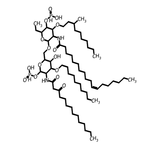 CCCCCC/C=C\CCCCCCCCCC(=O)NC1C(OCC2OC(O[PH](=O)O)C(NC(=O)CC(=O)CCCCCCCCCCC)C(OCCCCCCCCCC)C2O)OC(CC)C(O[PH](=O)O)C1OCCC(C)CCCCCCC